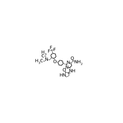 CCN(CC)Cc1cc(C(F)(F)F)ccc1Oc1ccc(-c2nc(N[C@H]3CCNC3=O)cc(C(N)=O)n2)cc1